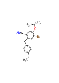 CCc1ccc(Cc2cc(Br)c(OC(C)C)cc2C#N)cc1